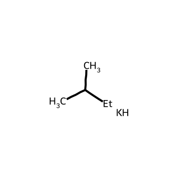 [CH2]CC(C)C.[KH]